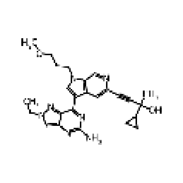 CCn1cc2nc(N)nc(-c3cn(CCCOC)c4cnc(C#CC(C)(O)C5CC5)cc34)c2n1